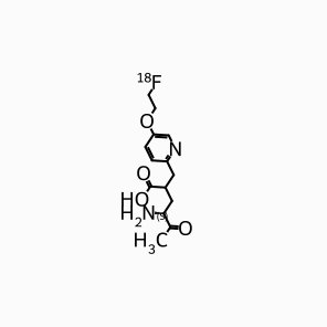 CC(=O)[C@@H](N)CC(Cc1ccc(OCC[18F])cn1)C(=O)O